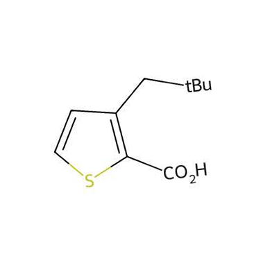 CC(C)(C)Cc1ccsc1C(=O)O